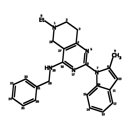 CCN1CCc2nc(-n3c(C)cc4ccccc43)nc(NCc3ccccc3)c2C1